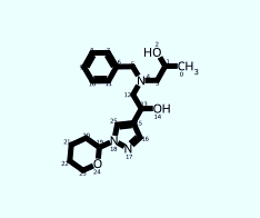 CC(O)CN(Cc1ccccc1)CC(O)c1cnn(C2CCCCO2)c1